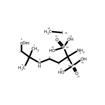 CCCCCCCCCCCC(C)(C)NCCC(N)(P(=O)(O)O)P(=O)(O)O.CI